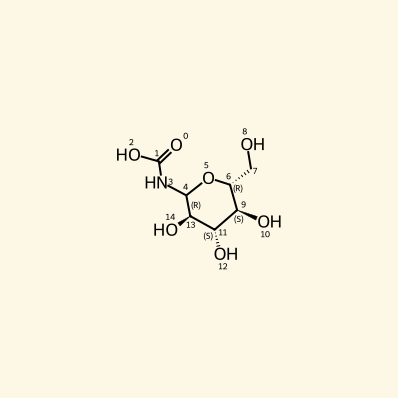 O=C(O)NC1O[C@H](CO)[C@@H](O)[C@H](O)[C@H]1O